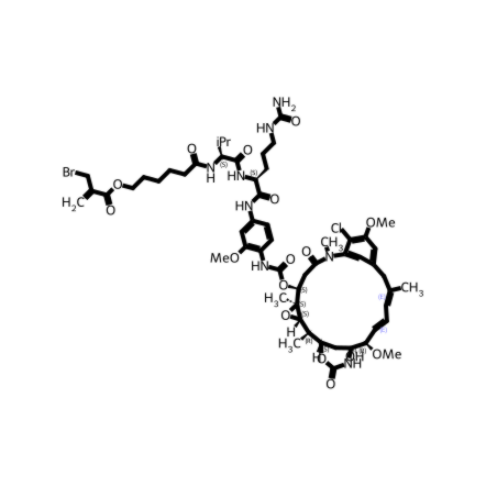 C=C(CBr)C(=O)OCCCCCC(=O)N[C@H](C(=O)N[C@@H](CCCNC(N)=O)C(=O)Nc1ccc(NC(=O)O[C@H]2CC(=O)N(C)c3cc(cc(OC)c3Cl)C/C(C)=C/C=C/[C@@H](OC)[C@@]3(O)C[C@H](OC(=O)N3)[C@@H](C)[C@@H]3O[C@@]23C)c(OC)c1)C(C)C